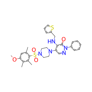 COc1cc(C)c(S(=O)(=O)N2CCN(c3cnn(-c4ccccc4)c(=O)c3NCc3cccs3)CC2)c(C)c1C